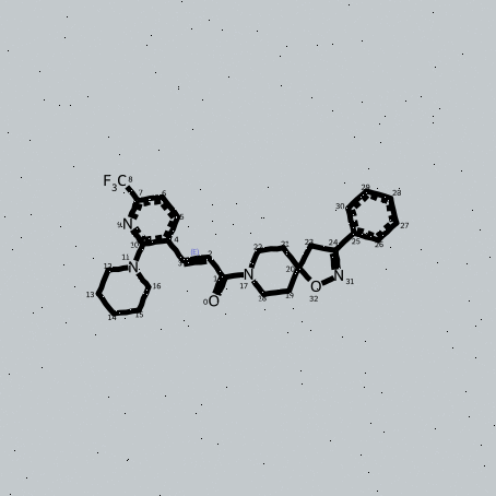 O=C(/C=C/c1ccc(C(F)(F)F)nc1N1CCCCC1)N1CCC2(CC1)CC(c1ccccc1)=NO2